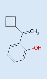 C=C(C1=CCC1)c1ccccc1O